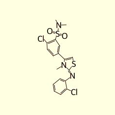 CN(C)S(=O)(=O)c1cc(-c2csc(=Nc3ccccc3Cl)n2C)ccc1Cl